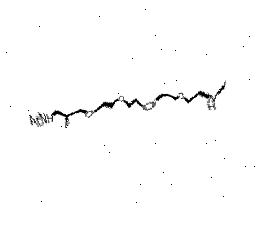 CC(=O)NCC(F)COCCOCCOCCOCCNI